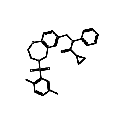 Cc1ccc(C)c(S(=O)(=O)N2CCOc3ccc(CN(C(=O)C4CC4)c4ccccc4)cc3C2)c1